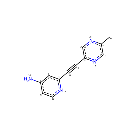 Cc1cnc(C#Cc2cc(N)ccn2)cn1